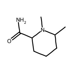 CC1CCCC(C(N)=O)N1C